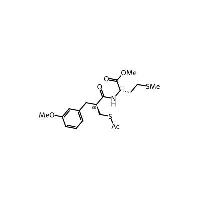 COC(=O)[C@H](CCSC)NC(=O)[C@@H](CSC(C)=O)Cc1cccc(OC)c1